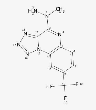 CN(N)c1nc2ccc(C(F)(F)F)cc2n2nnnc12